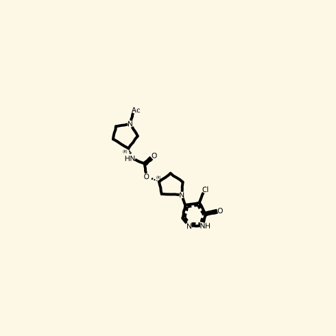 CC(=O)N1CC[C@@H](NC(=O)O[C@@H]2CCN(c3cn[nH]c(=O)c3Cl)C2)C1